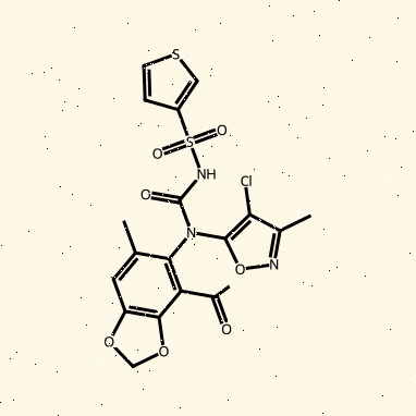 CC(=O)c1c2c(cc(C)c1N(C(=O)NS(=O)(=O)c1ccsc1)c1onc(C)c1Cl)OCO2